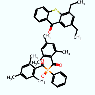 CCc1cc(CC)c2sc3ccccc3c(=O)c2c1.Cc1cc(C)c(C(=O)P(=O)(C(=O)c2c(C)cc(C)cc2C)c2ccccc2)c(C)c1